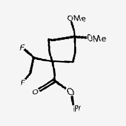 COC1(OC)CC(C(=O)OC(C)C)(C(F)F)C1